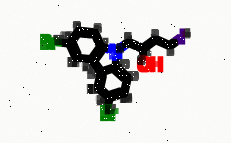 OC(CCI)Cn1c2ccc(Br)cc2c2cc(Br)ccc21